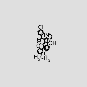 Cc1ccc(C2(O)/C(=C3/C(=O)Oc4ccc(C)cc4C3=O)C(C(=O)c3ccc(Cl)cc3)=C3NCCCN32)cc1